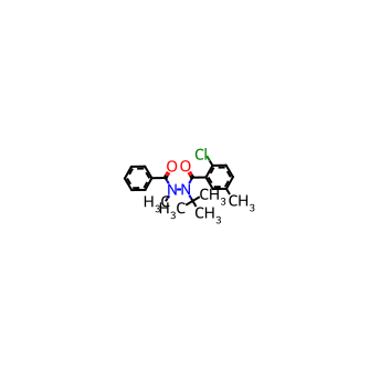 Cc1ccc(Cl)c(C(=O)N(N(C)C(=O)c2ccccc2)C(C)(C)C)c1